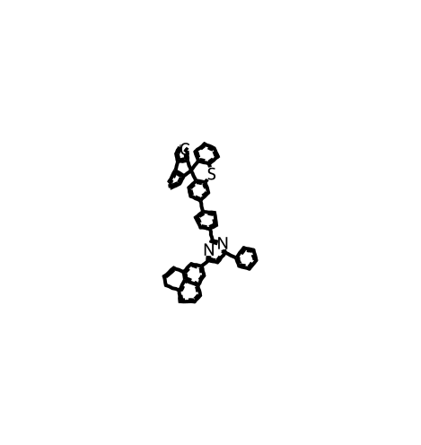 C1=Cc2cc(-c3cc(-c4ccccc4)nc(-c4ccc(-c5ccc6c(c5)Sc5ccccc5C65c6ccccc6-c6ccccc65)cc4)n3)cc3cccc(c23)C1